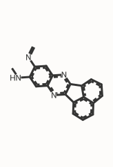 C=Nc1cc2nc3c(nc2cc1NC)-c1cccc2cccc-3c12